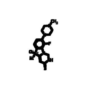 CC[N+]1([O-])C2=CC(=S)NCN2c2c1ccc(N1CCN(C)CC1)c2F